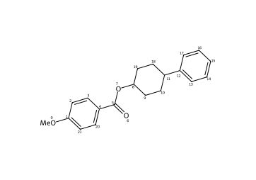 COc1ccc(C(=O)OC2CCC(c3ccccc3)CC2)cc1